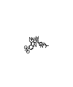 CC(C)=Cn1cc(Nc2nc3ccc(S(C)(=O)=O)cc3c3cn[nH]c23)cn1